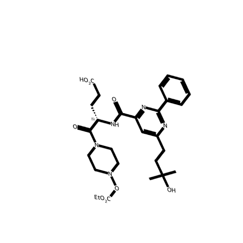 CCOC(=O)ON1CCN(C(=O)[C@H](CCC(=O)O)NC(=O)c2cc(CCC(C)(C)O)nc(-c3ccccc3)n2)CC1